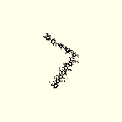 COc1cccc(N)c1.Cc1ccc(N)cc1.Cc1cccc(N)n1.Cc1ccccc1N.N#Cc1cccc(N)c1.Nc1ccc(Cl)cc1.Nc1ccc(Cl)cn1.Nc1ccc(F)c(Cl)c1.Nc1ccc(F)cc1.Nc1cccc(Cl)c1.Nc1ccccc1Cl.Nc1ccccc1F